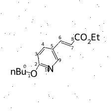 CCCCOc1ccc(/C=C/C(=O)OCC)cn1